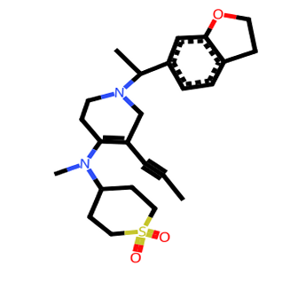 CC#CC1=C(N(C)C2CCS(=O)(=O)CC2)CCN(C(C)c2ccc3c(c2)OCC3)C1